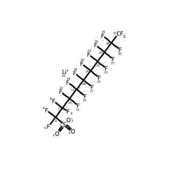 O=S(=O)([O-])C(F)(F)C(F)(F)C(F)(F)C(F)(F)C(F)(F)C(F)(F)C(F)(F)C(F)(F)C(F)(F)C(F)(F)F.[Li+]